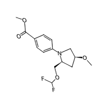 COC(=O)c1ccc(N2C[C@@H](OC)C[C@H]2COC(F)F)cc1